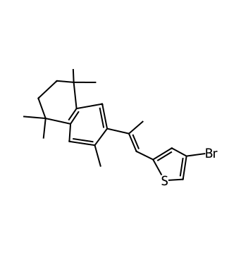 CC(=Cc1cc(Br)cs1)c1cc2c(cc1C)C(C)(C)CCC2(C)C